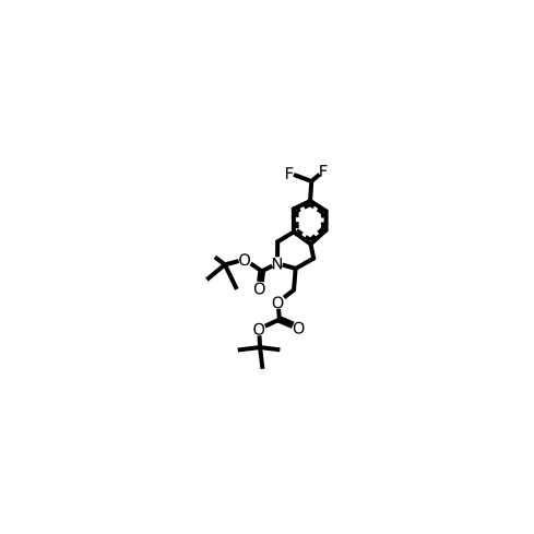 CC(C)(C)OC(=O)OCC1Cc2ccc(C(F)F)cc2CN1C(=O)OC(C)(C)C